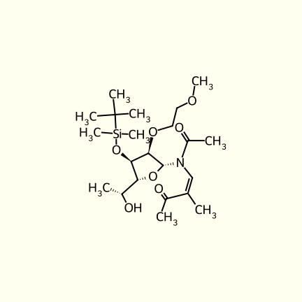 COCCO[C@@H]1[C@H](O[Si](C)(C)C(C)(C)C)[C@@H]([C@@H](C)O)O[C@H]1N(/C=C(/C)C(C)=O)C(C)=O